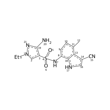 CCn1cc(S(=O)(=O)Nc2ccc(C)c3c(C#N)c[nH]c23)c(N)n1